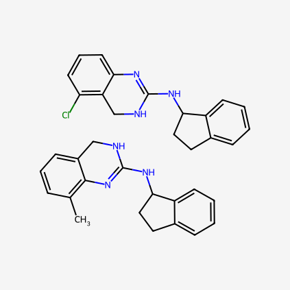 Cc1cccc2c1N=C(NC1CCc3ccccc31)NC2.Clc1cccc2c1CNC(NC1CCc3ccccc31)=N2